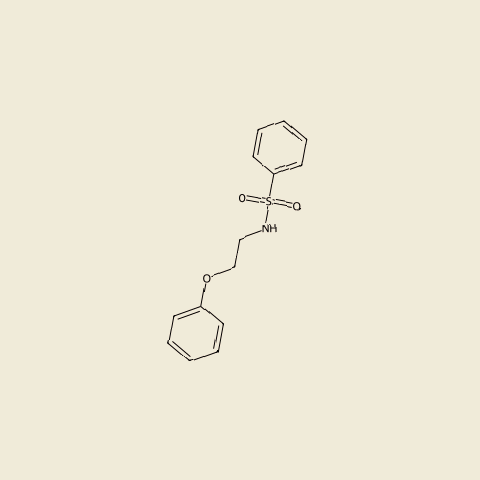 O=S(=O)(NCCOc1ccccc1)c1ccccc1